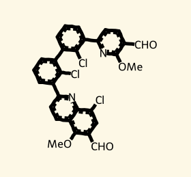 COc1nc(-c2cccc(-c3cccc(-c4ccc5c(OC)c(C=O)cc(Cl)c5n4)c3Cl)c2Cl)ccc1C=O